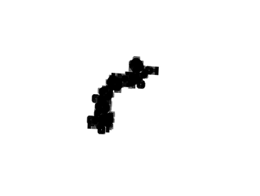 O=C(c1cc(Cn2c(=O)[nH]c(=O)c3c(F)cccc32)ccc1F)N1CCN(c2ccc(Nc3ncc4c(=O)n(CCO)n(-c5ccccn5)c4n3)cc2)CC1